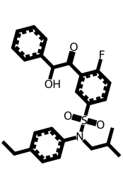 CCc1ccc(N(CC(C)C)S(=O)(=O)c2ccc(F)c(C(=O)C(O)c3ccccc3)c2)cc1